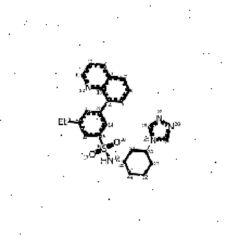 CCc1cc(-c2cccc3cccnc23)cc(S(=O)(=O)N[C@H]2CCC[C@@H](n3cnnc3)C2)c1